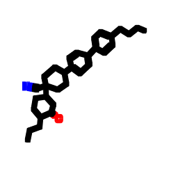 CCCCc1ccc(-c2ccc(C3CCC(C#N)(C4CCC(CCC)C(=O)C4)CC3)cc2)cc1